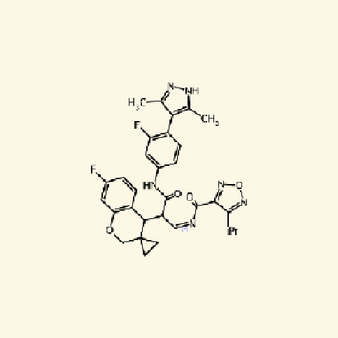 Cc1n[nH]c(C)c1-c1ccc(NC(=O)C(/C=N\C(=O)c2nonc2C(C)C)C2c3ccc(F)cc3OCC23CC3)cc1F